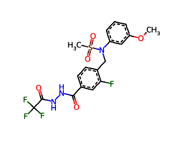 COc1cccc(N(Cc2ccc(C(=O)NNC(=O)C(F)(F)F)cc2F)S(C)(=O)=O)c1